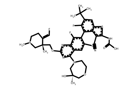 CN1CC/C(=C\F)[C@](C)(COc2nc(N3CCOC[C@@](C)(O)C3)c3cc(Cl)c(-c4c(F)c(C(C)(C)C)cc5sc(NC(=O)O)c(C#N)c45)c(F)c3n2)C1